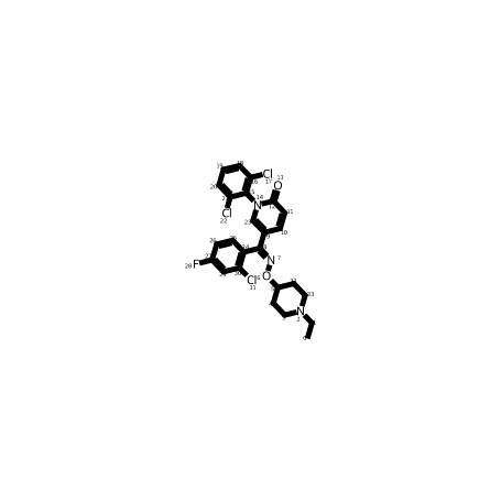 CCN1CCC(ON=C(c2ccc(=O)n(-c3c(Cl)cccc3Cl)c2)c2ccc(F)cc2Cl)CC1